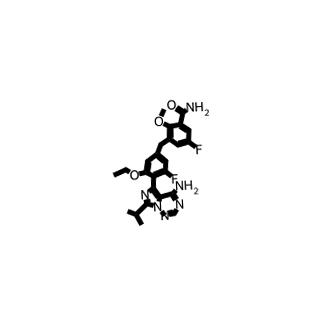 CCOc1cc(Cc2cc(F)cc(C(N)=O)c2OC)cc(F)c1-c1nc(C(C)C)n2ncnc(N)c12